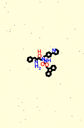 N[C@@H](Cc1ccccc1)[C@@H](O)CN(Cc1ccc(-c2ccccn2)cc1)NC(=O)OCC1c2ccccc2-c2ccccc21